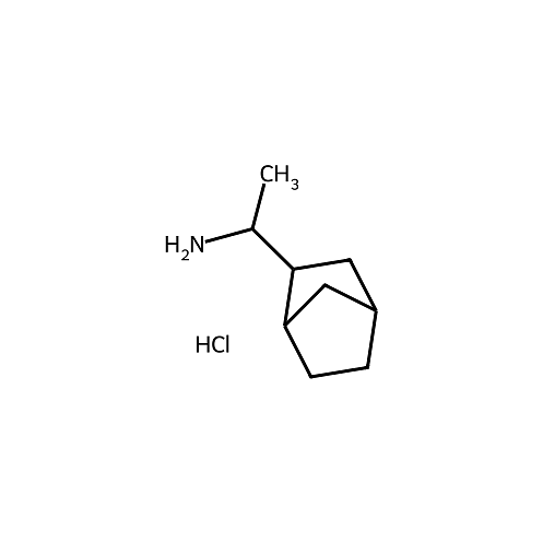 CC(N)C1CC2CCC1C2.Cl